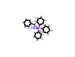 c1ccc(CN[PH](c2ccccc2)(c2ccccc2)c2ccccc2)cc1